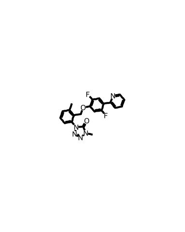 Cc1cccc(-n2nnn(C)c2=O)c1COc1cc(F)c(-c2ccccn2)cc1F